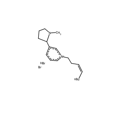 Br.CCCC/C=C\CC[n+]1cccc(C2CCCN2C)c1.[Br-]